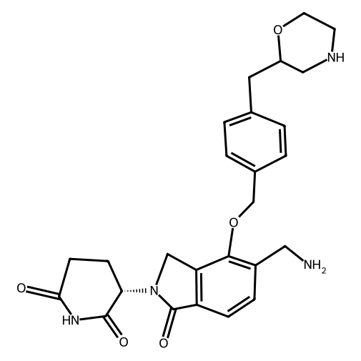 NCc1ccc2c(c1OCc1ccc(CC3CNCCO3)cc1)CN([C@H]1CCC(=O)NC1=O)C2=O